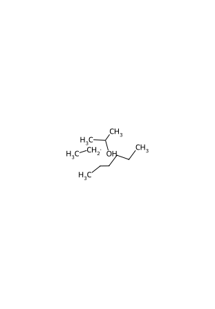 CC(C)O.CCCCCC.[CH2]C